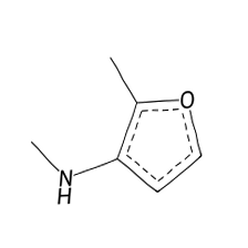 CNc1ccoc1C